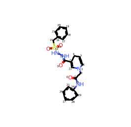 O=C(CN1C=CCC(C(=O)NNS(=O)(=O)Cc2ccccc2)=C1)Nc1ccccc1